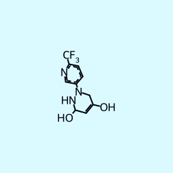 OC1=CC(O)NN(c2ccc(C(F)(F)F)nc2)C1